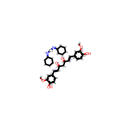 C(=NC1CCCCC1)=NC1CCCCC1.COc1cc(/C=C/C(=O)CC(=O)/C=C/c2ccc(O)c(OC)c2)ccc1O